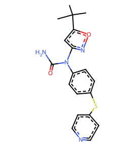 CC(C)(C)c1cc(N(C(N)=O)c2ccc(Sc3ccncc3)cc2)no1